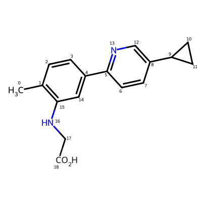 Cc1ccc(-c2ccc(C3CC3)cn2)cc1NCC(=O)O